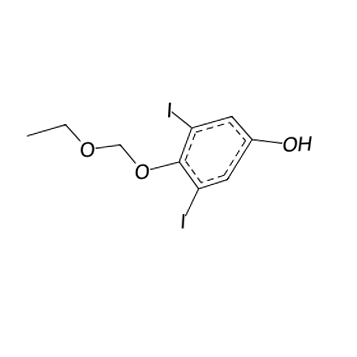 CCOCOc1c(I)cc(O)cc1I